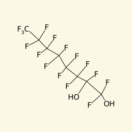 OC(F)(F)C(O)(F)C(F)(F)C(F)(F)C(F)(F)C(F)(F)C(F)(F)C(F)(F)F